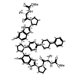 COC(=O)N[C@H](C(=O)N1CCC[C@H]1c1nc2cc([C@H]3CC[C@H](c4cc5nc([C@@H]6CCCN6C(=O)[C@@H](NC(=O)OC)C(C)C)[nH]c5cc4F)N3c3cnc(N4CCC(c5ccccc5)CC4)nc3)c(F)cc2[nH]1)C(C)C